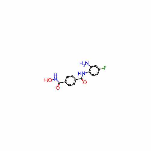 Nc1cc(F)ccc1NC(=O)c1ccc(C(=O)NO)cc1